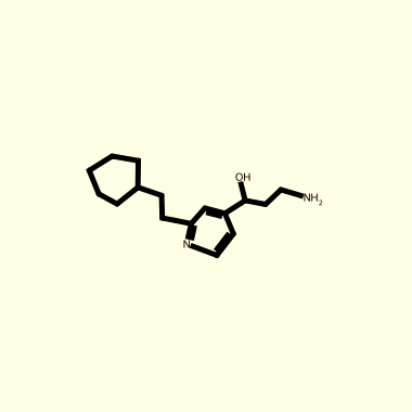 NCCC(O)c1ccnc(CCC2CCCCC2)c1